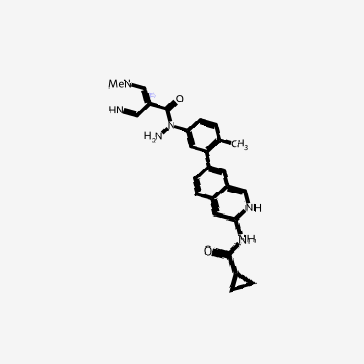 CN/C=C(\C=N)C(=O)N(N)c1ccc(C)c(-c2ccc3c(c2)=CNC(NC(=O)C2CC2)C=3)c1